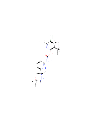 [2H]c1nc(OC(=O)Nc2cccc(C3(C)COC(C)(C(F)(F)F)C(N)=N3)n2)c(C([2H])([2H])[2H])c([2H])c1Cl